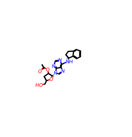 CC(=O)OC1CC(CO)O[C@H]1n1cnc2c(N[C@H]3CCc4ccccc43)ncnc21